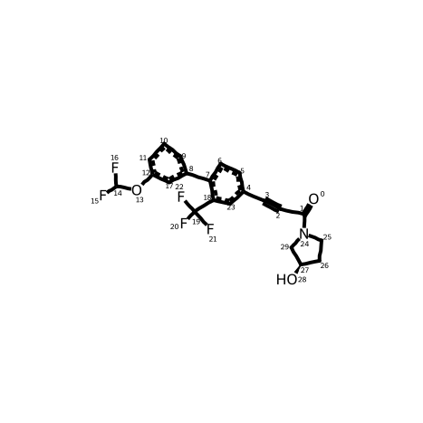 O=C(C#Cc1ccc(-c2cccc(OC(F)F)c2)c(C(F)(F)F)c1)N1CC[C@@H](O)C1